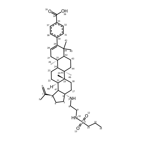 C=C(C)[C@@H]1CC[C@]2(NCCNS(=O)(=O)CCC)CC[C@]3(C)[C@H](CCC4[C@@]5(C)CC=C(c6ccc(C(=O)O)cc6)C(C)(C)C5CC[C@]43C)C12